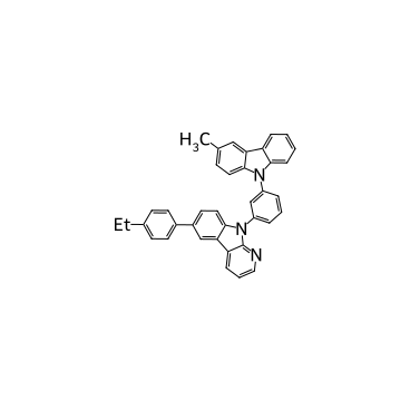 CCc1ccc(-c2ccc3c(c2)c2cccnc2n3-c2cccc(-n3c4ccccc4c4cc(C)ccc43)c2)cc1